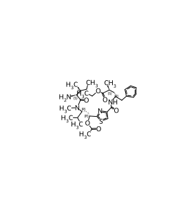 CCOC(=O)[C@@H](C)C[C@H](Cc1ccccc1)NC(=O)c1csc([C@@H](C[C@H](C(C)C)N(C)C(=O)[C@@H](N)[C@@H](C)CC)OC(C)=O)n1